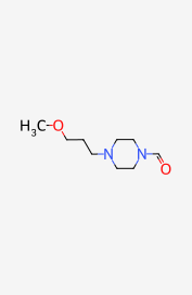 COCCCN1CCN(C=O)CC1